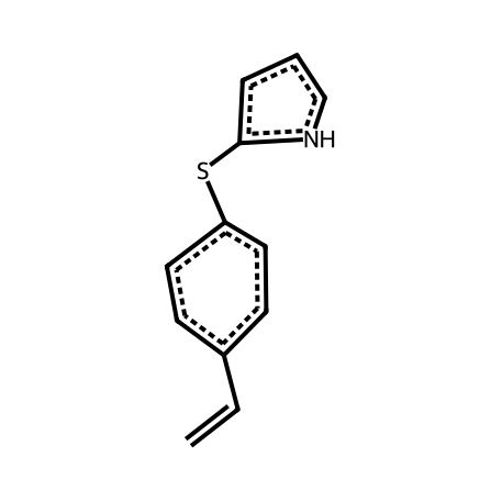 C=Cc1ccc(Sc2ccc[nH]2)cc1